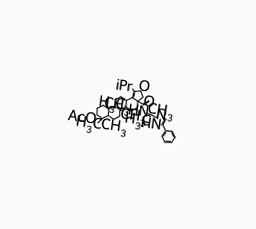 CC(=O)OC1CCC2(C)C(CCC3(C)C2CCC2C4=C(C(C)C)C(=O)CC4(C(=O)NC(C)(C)c4ncc(-c5ccccc5)[nH]4)CCC23C)C1(C)C